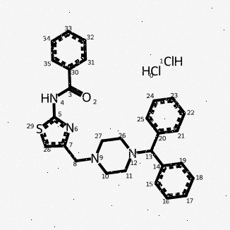 Cl.Cl.O=C(Nc1nc(CN2CCN(C(c3ccccc3)c3ccccc3)CC2)cs1)c1ccccc1